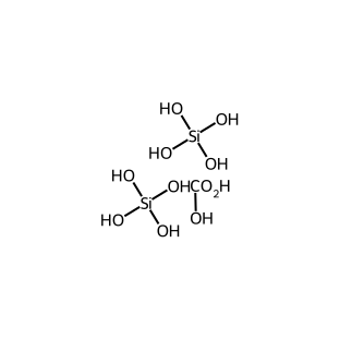 O=C(O)O.O[Si](O)(O)O.O[Si](O)(O)O